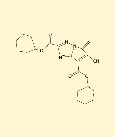 C=c1c(C#N)c(C(=O)OC2CCCCC2)c2nc(C(=O)OC3CCCCC3)nn12